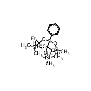 CCC(CC)(O[Si](O[SiH](C)C)(c1ccccc1)C(C)(C)O[SiH](C)C)[SiH](C)C